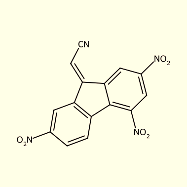 N#CC=C1c2cc([N+](=O)[O-])ccc2-c2c1cc([N+](=O)[O-])cc2[N+](=O)[O-]